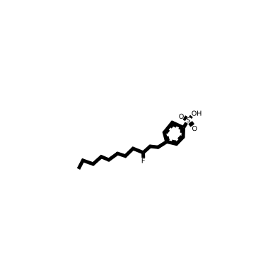 CCCCCCCCC(F)CCc1ccc(S(=O)(=O)O)cc1